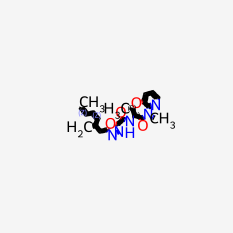 C=C(/C=C\C=C/C)Cc1nnc(C(=O)N[C@@H]2C(=O)N(C)c3ncccc3O[C@@H]2C)o1